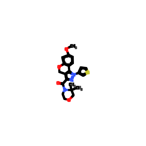 COc1ccc2c(c1)OCc1c(C(=O)N3CCOCC3(C)C)nn(-c3ccsc3)c1-2